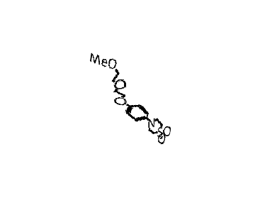 COCCOCCOc1ccc(N2CCS(=O)(=O)CC2)cc1